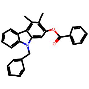 Cc1c(OC(=O)c2ccccc2)cc2c(c1C)c1ccccc1n2Cc1ccccc1